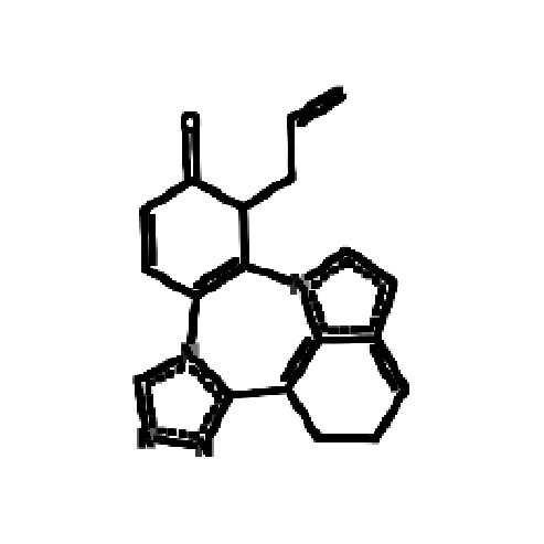 C=CCC1C(=O)C=CC2=C1n1ccc3c1=C(CCC=3)c1nncn12